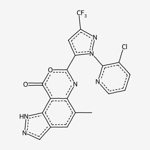 Cc1cc2cn[nH]c2c2c(=O)oc(-c3cc(C(F)(F)F)nn3-c3ncccc3Cl)nc12